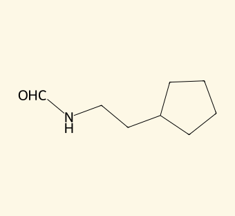 O=CNCCC1CCCC1